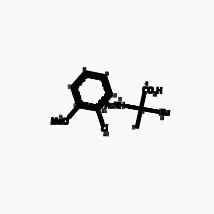 CCC(C)C(C)(NC(C)=O)C(=O)O.COc1ccccc1Cl